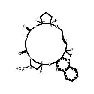 O=C1NCC(=O)N2C[C@@H](C[C@H]2C(=O)O)Oc2nc3ccccc3nc2C(F)(F)/C=C/CO[C@@H]2CCC[C@H]2O1